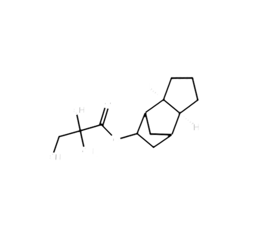 CCC(C)(C)C(=O)OC1CC2CC1[C@H]1CCC[C@@H]21